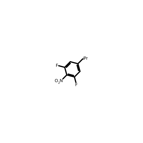 CC(C)c1cc(F)c([N+](=O)[O-])c(F)c1